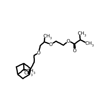 CC(COCCC1=CCC2CC1C2(C)C)OCCOC(=O)C(C)C